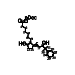 CCCCCCCCCCOC(=O)CCCCCCC1C(O)CCC1SCC(O)C(C)(C)c1ccccc1